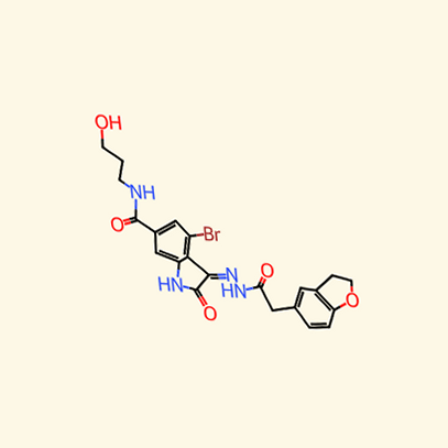 O=C(Cc1ccc2c(c1)CCO2)N/N=C1\C(=O)Nc2cc(C(=O)NCCCO)cc(Br)c21